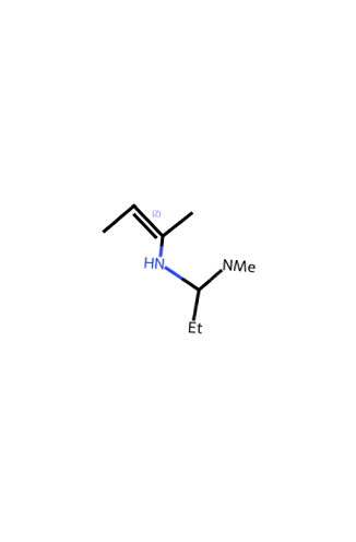 C/C=C(/C)NC(CC)NC